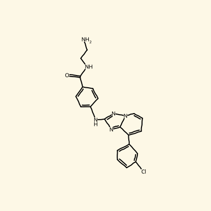 NCCNC(=O)c1ccc(Nc2nc3c(-c4cccc(Cl)c4)cccn3n2)cc1